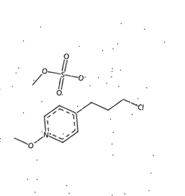 COS(=O)(=O)[O-].CO[n+]1ccc(CCCCl)cc1